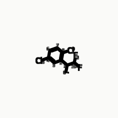 [CH2]C(c1cc(Cl)ccc1Cl)C(F)F